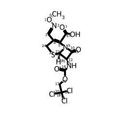 CON=CC1=C(C(=O)O)N2C(=O)[C@@H](NC(=O)OCC(Cl)(Cl)Cl)[C@@H]2SC1